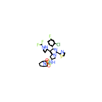 O=S(=O)(NC1CC2=C(c3ccn(C(F)F)n3)[C@H](c3ccc(F)cc3Cl)N=C(c3nccs3)N2C1)N1C2CCC1CC(F)(F)C2